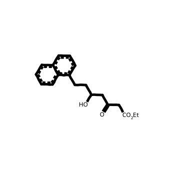 CCOC(=O)CC(=O)CC(O)CCc1cccc2ccccc12